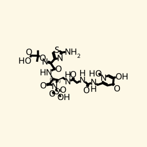 CC(C)(ON=C(C(=O)N[C@@H]1C(=O)N(S(=O)(=O)O)[C@@H]1CNC(=O)CNC(=O)NCc1cc(=O)c(O)cn1O)c1csc(N)n1)C(=O)O